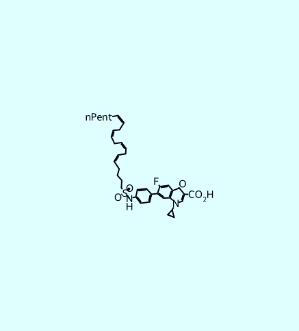 CCCCC/C=C\C/C=C\C/C=C\C/C=C\CCCCS(=O)(=O)Nc1ccc(-c2cc3c(cc2F)c(=O)c(C(=O)O)cn3C2CC2)cc1